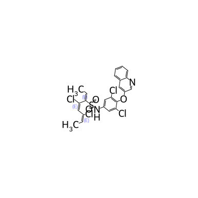 C\C=C(Cl)/C=C(Cl)\C(=C/C)S(=O)(=O)Nc1cc(Cl)c(Oc2cnc3ccccc3c2)c(Cl)c1